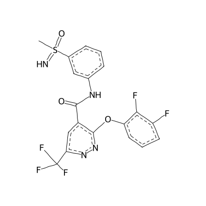 CS(=N)(=O)c1cccc(NC(=O)c2cc(C(F)(F)F)nnc2Oc2cccc(F)c2F)c1